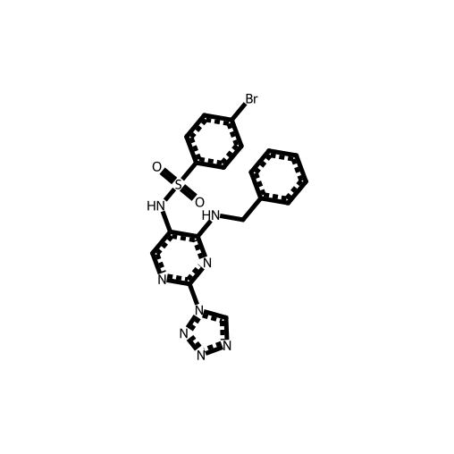 O=S(=O)(Nc1cnc(-n2cnnn2)nc1NCc1ccccc1)c1ccc(Br)cc1